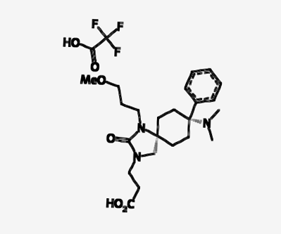 COCCCN1C(=O)N(CCC(=O)O)C[C@]12CC[C@@](c1ccccc1)(N(C)C)CC2.O=C(O)C(F)(F)F